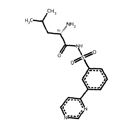 CC(C)C[C@H](N)C(=O)NS(=O)(=O)c1cccc(-c2ccncn2)c1